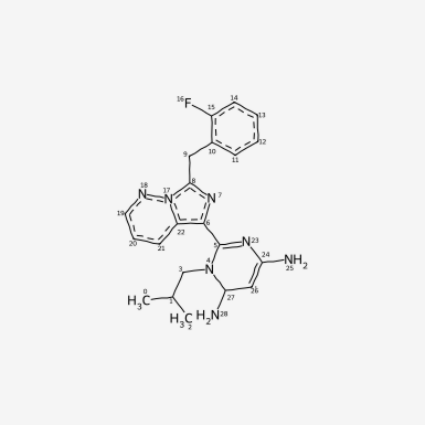 CC(C)CN1C(c2nc(Cc3ccccc3F)n3ncccc23)=NC(N)=[C]C1N